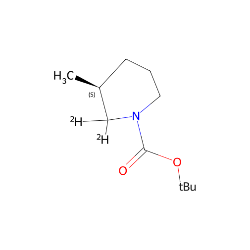 [2H]C1([2H])[C@@H](C)CCCN1C(=O)OC(C)(C)C